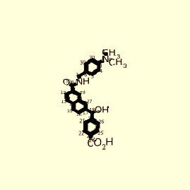 CN(C)c1ccc(CNC(=O)c2ccc3ccc(C(O)c4ccc(C(=O)O)cc4)cc3c2)cc1